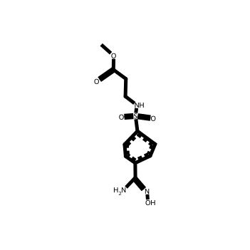 COC(=O)CCNS(=O)(=O)c1ccc(C(N)=NO)cc1